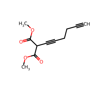 C#CCCC#CC(C(=O)OC)C(=O)OC